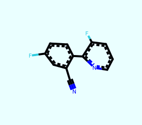 N#Cc1cc(F)ccc1-c1ncccc1F